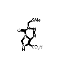 CSCN1N=NC2=C(C(=O)O)NCN2C1=O